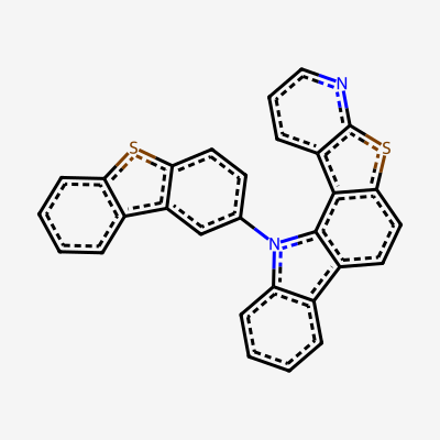 c1ccc2c(c1)sc1ccc(-n3c4ccccc4c4ccc5sc6ncccc6c5c43)cc12